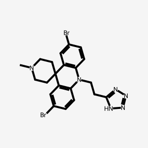 CN1CCC2(CC1)c1cc(Br)ccc1N(CCc1nnn[nH]1)c1ccc(Br)cc12